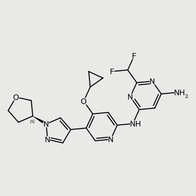 Nc1cc(Nc2cc(OC3CC3)c(-c3cnn([C@H]4CCOC4)c3)cn2)nc(C(F)F)n1